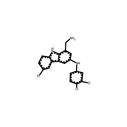 NCc1cc(Nc2ccc(Cl)c(Cl)c2)cc2c1[nH]c1ccc(Cl)cc12